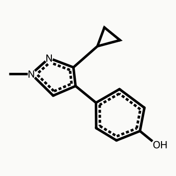 Cn1cc(-c2ccc(O)cc2)c(C2CC2)n1